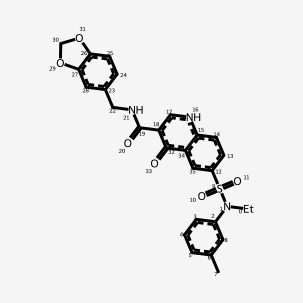 CCN(c1cccc(C)c1)S(=O)(=O)c1ccc2[nH]cc(C(=O)NCc3ccc4c(c3)OCO4)c(=O)c2c1